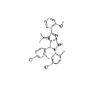 COc1ccncc1-c1nc2c(n1C(C)C)C(c1ccc(Cl)cc1C)N(c1cc(Cl)ccc1C)N2